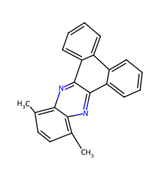 Cc1ccc(C)c2nc3c4ccccc4c4ccccc4c3nc12